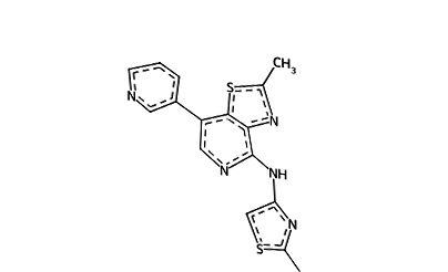 Cc1nc(Nc2ncc(-c3cccnc3)c3sc(C)nc23)cs1